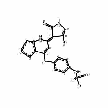 CCS(=O)(=O)Nc1ccc(SC2=C/C(=C3/C(=O)NN=C3C(C)C)Nc3ccccc32)cc1